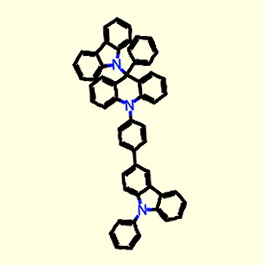 c1ccc(-n2c3ccccc3c3cc(-c4ccc(N5c6ccccc6C(c6ccccc6)(n6c7ccccc7c7ccccc76)c6ccccc65)cc4)ccc32)cc1